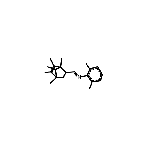 CC1=C(C)C2(C)C(/C=N/c3c(C)cccc3C)CC1(C)C2C